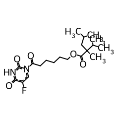 CC(C)CC(C)(C(=O)OCCCCCC(=O)n1cc(F)c(=O)[nH]c1=O)C(C)C